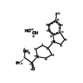 CC(C)[C@H](N)C(=O)N1CCC(N2CCc3cc(F)ccc32)CC1.Cl.Cl